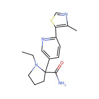 CCN1CCCC1(C(N)=O)c1ccc(-c2scnc2C)nc1